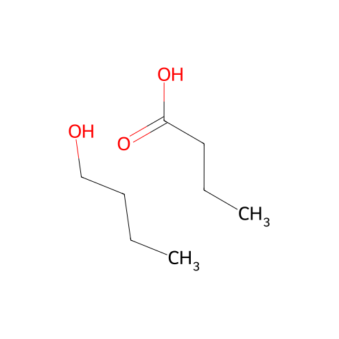 CCCC(=O)O.CCCCO